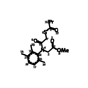 COC(=O)CN(C(=O)CSC(=O)C(C)C)c1c(C)ccc(C)c1C